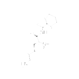 CN[C@@H](CCCCN)C(=O)NC(C)C1CCCCC1